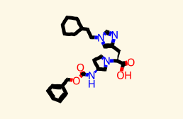 O=C(N[C@H]1CCN([C@@H](Cc2cn(CCC3CCCCC3)cn2)C(=O)O)C1)OCc1ccccc1